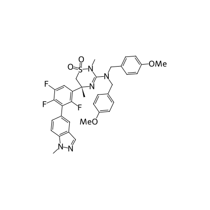 COc1ccc(CN(Cc2ccc(OC)cc2)C2=N[C@](C)(c3cc(F)c(F)c(-c4ccc5c(cnn5C)c4)c3F)CS(=O)(=O)N2C)cc1